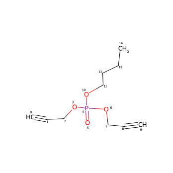 C#CCOP(=O)(OCC#C)OCCCC